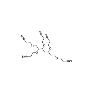 N#CCCOCCC(CC(OCCC#N)C(COCCC#N)OCCC#N)OCCC#N